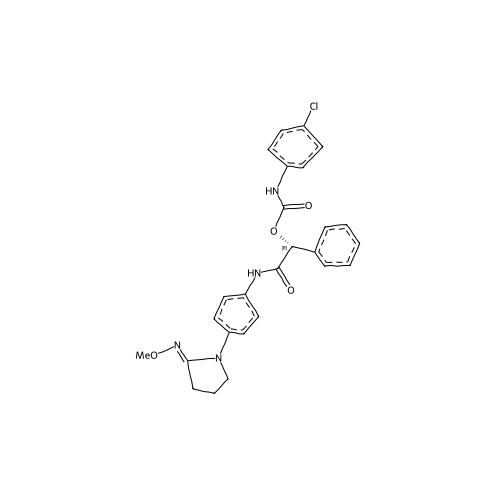 CON=C1CCCN1c1ccc(NC(=O)[C@H](OC(=O)Nc2ccc(Cl)cc2)c2ccccc2)cc1